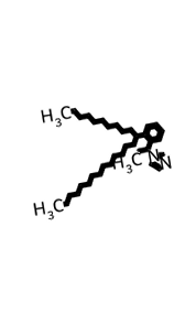 CCCCCCCCCCCCCCC(CCCCCCCCCC)c1ccccc1C(CC)n1ccnc1